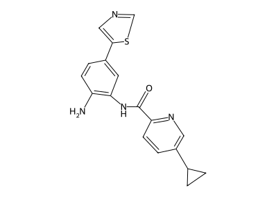 Nc1ccc(-c2cncs2)cc1NC(=O)c1ccc(C2CC2)cn1